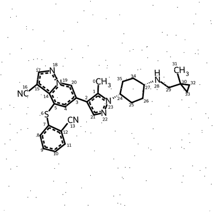 Cc1c(-c2cc(Sc3ccccc3C#N)c3c(C#N)cnn3c2)cnn1[C@H]1CC[C@@H](NCC2(C)CC2)CC1